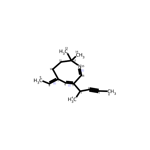 CC#CC(C)C1=C/C(=C/C)CCC(C)(C)/N=C\1